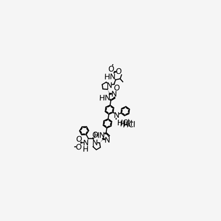 COC(=O)N[C@H](C(=O)N1CCC[C@H]1c1ncc(-c2ccc(-c3ccc(-c4cnc([C@@H]5CCCN5C(=O)[C@H](NC(=O)OC)c5ccccc5)[nH]4)cc3)c(N(C)c3ccccc3)c2)[nH]1)C(C)C.Cl.Cl.Cl